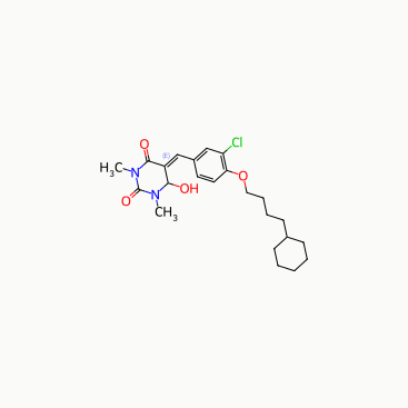 CN1C(=O)/C(=C/c2ccc(OCCCCC3CCCCC3)c(Cl)c2)C(O)N(C)C1=O